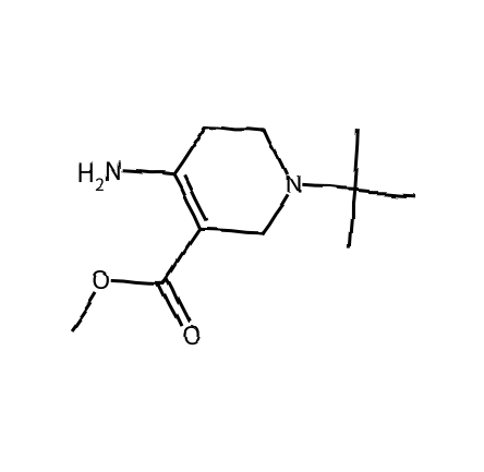 COC(=O)C1=C(N)CCN(C(C)(C)C)C1